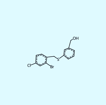 OCc1cccc(SCc2ccc(Cl)cc2Br)c1